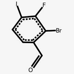 O=Cc1ccc(I)c(F)c1Br